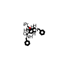 CC(C)CC[C@@H]1[C@@H]2[C@@H]3CN[C@@]1(C(=O)NCc1ccccc1)C[C@@H]3CN2Cc1ccccc1